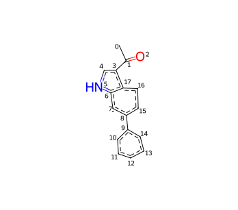 CC(=O)c1c[nH]c2[c]c(-c3ccccc3)ccc12